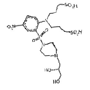 O=[N+]([O-])c1ccc(N(CCCS(=O)(=O)O)CCCS(=O)(=O)O)c(S(=O)(=O)N2CCN(CC(O)CO)CC2)c1